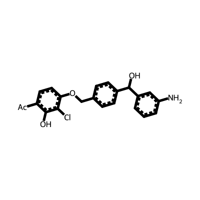 CC(=O)c1ccc(OCc2ccc(C(O)c3cccc(N)c3)cc2)c(Cl)c1O